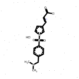 CN(C)Cc1ccc(S(=O)(=O)n2ccc(/C=C/C(=O)Cl)c2)cc1.Cl